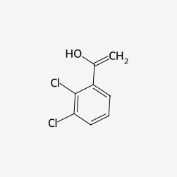 C=C(O)c1cccc(Cl)c1Cl